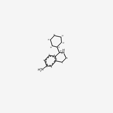 Nc1ccc2c(c1)CCNC2C1CCCCC1